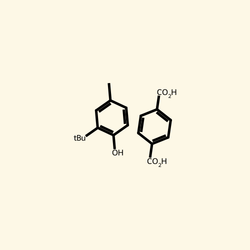 Cc1ccc(O)c(C(C)(C)C)c1.O=C(O)c1ccc(C(=O)O)cc1